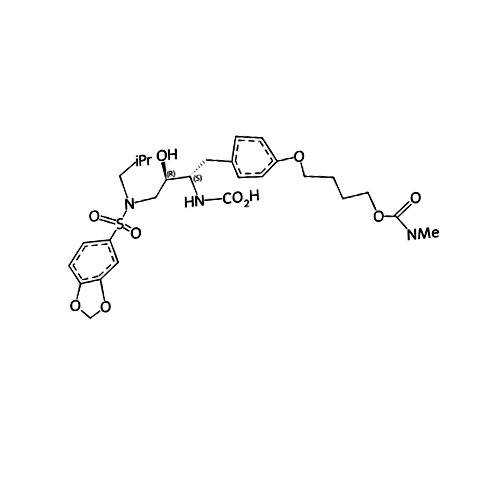 CNC(=O)OCCCCOc1ccc(C[C@H](NC(=O)O)[C@H](O)CN(CC(C)C)S(=O)(=O)c2ccc3c(c2)OCO3)cc1